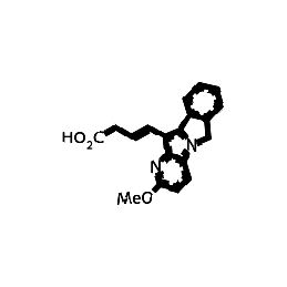 COc1ccc2c(n1)c(/C=C/CC(=O)O)c1n2Cc2ccccc2-1